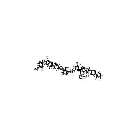 Cc1ncsc1-c1ccc([C@H](C)NC(=O)C2C[C@@H](O)CN2C(=O)C(NC(=O)COCC(F)(F)C(F)(F)C(F)(F)COc2ccc(C(=O)N[C@H]3C(C)(C)[C@H](Oc4ccc(C#N)c(Cl)c4)C3(C)C)cc2)C(C)(C)C)cc1